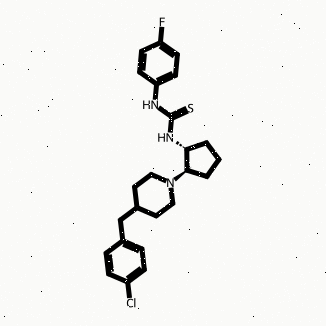 Fc1ccc(NC(=S)N[C@@H]2CCC[C@H]2N2CCC(Cc3ccc(Cl)cc3)CC2)cc1